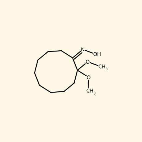 COC1(OC)CCCCCCCCC1=NO